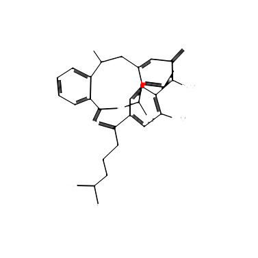 C=C(/C=C1/CC(C)c2ccccc2C(=O)CC(CC)/C1=C/C)C(NC)c1ccc(C(=O)CCCC(CCC)CCCCCC)cc1OC